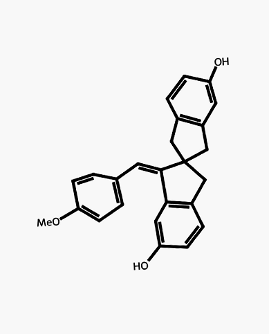 COc1ccc(C=C2c3cc(O)ccc3CC23Cc2ccc(O)cc2C3)cc1